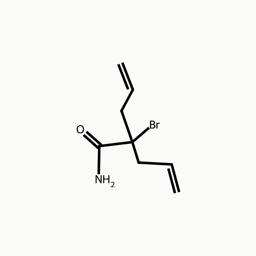 C=CCC(Br)(CC=C)C(N)=O